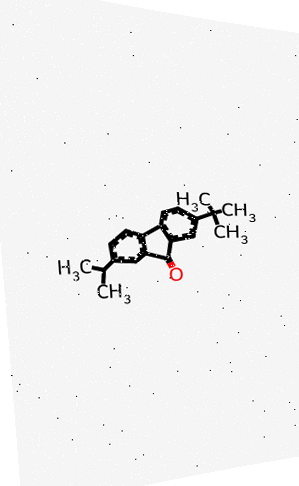 CC(C)c1ccc2c(c1)C(=O)c1cc(C(C)(C)C)ccc1-2